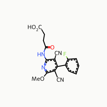 COc1nc(NC(=O)CCC(=O)O)c(C#N)c(-c2ccccc2F)c1C#N